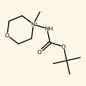 [CH2][N+]1(NC(=O)OC(C)(C)C)CCOCC1